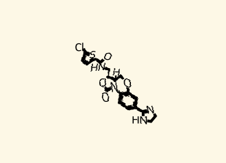 O=C(NC[C@@H]1OC(=O)N2c3ccc(C4=NCCN4)cc3OC[C@@H]12)c1ccc(Cl)s1